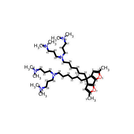 Cc1cc2c(o1)-c1oc(C)cc1C2(CCCCCCN(CCCN(C)C)CCCN(C)C)CCCCCCN(CCCN(C)C)CCCN(C)C